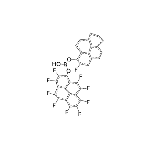 OB(Oc1c(F)cc2ccc3cccc4ccc1c2c34)Oc1c(F)c(F)c2c(F)c(F)c3c(F)c(F)c(F)c4c(F)c(F)c1c2c34